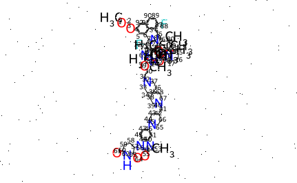 COCOc1cc(-c2ncc3c(N4CC5CCC(C4)N5C(=O)OC(C)(C)C)nc(OCCN4CCC5(CC4)CCN(CC4CCN(c6ccc7c(c6)n(C)c(=O)n7C6CCC(=O)NC6=O)CC4)CC5)nc3c2F)c2c(C#C[Si](C(C)C)(C(C)C)C(C)C)c(F)ccc2c1